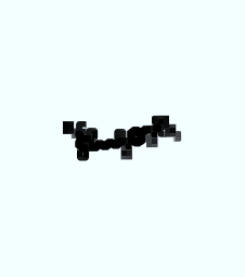 CCC1CC(=O)N(CCCCCC(=O)Nc2ccc(CNC(C)S)cc2)C1=O